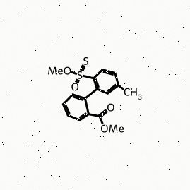 COC(=O)c1ccccc1-c1cc(C)ccc1S(=O)(=S)OC